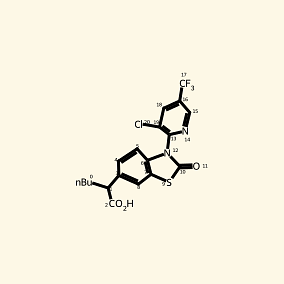 CCCCC(C(=O)O)c1ccc2c(c1)sc(=O)n2-c1ncc(C(F)(F)F)cc1Cl